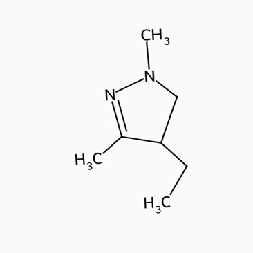 CCC1CN(C)N=C1C